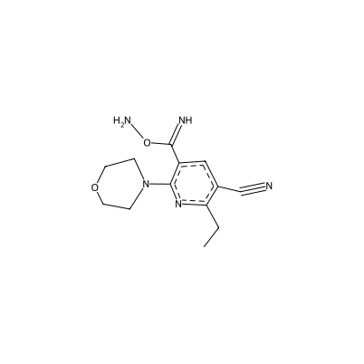 CCc1nc(N2CCOCC2)c(C(=N)ON)cc1C#N